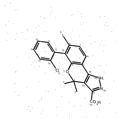 CC1(C)Oc2c(ccc(I)c2-c2ccccc2Cl)-c2[nH]nc(C(=O)O)c21